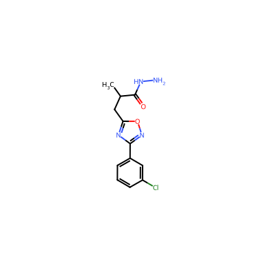 CC(Cc1nc(-c2cccc(Cl)c2)no1)C(=O)NN